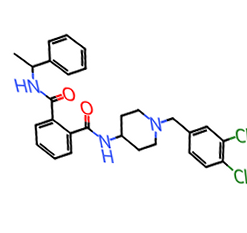 CC(NC(=O)c1ccccc1C(=O)NC1CCN(Cc2ccc(Cl)c(Cl)c2)CC1)c1ccccc1